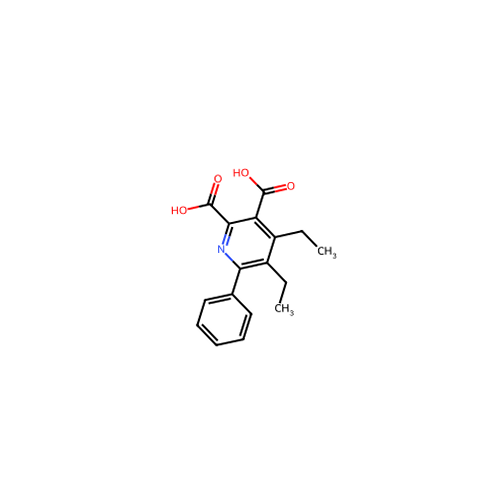 CCc1c(-c2ccccc2)nc(C(=O)O)c(C(=O)O)c1CC